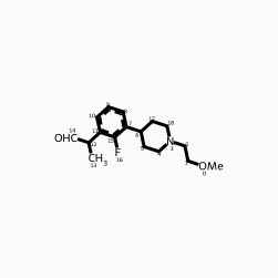 COCCN1CCC(c2cccc(C(C)C=O)c2F)CC1